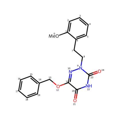 COc1ccccc1CCn1nc(OCc2ccccc2)c(=O)[nH]c1=O